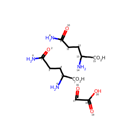 NC(=O)CCC(N)C(=O)O.NC(=O)CCC(N)C(=O)O.O=CC(=O)O